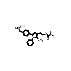 CCNC(=O)OCCc1cc(-c2ccc(CS(=O)O)cc2)n(-c2ccccc2)c1C